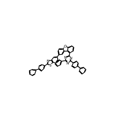 c1ccc(-c2ccc(-c3nc(-c4ccccc4)nc(-c4cccc5oc6ccc(-c7ccc8sc(-c9ccc(-c%10ccccc%10)cc9)nc8c7)cc6c45)n3)cc2)cc1